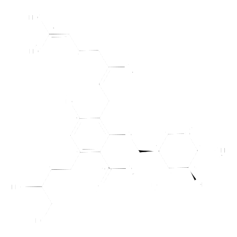 CCC(C)CCc1cc(O)c(C/C=C(\C)CCC=C(C)C)c(OC[C@H]2CO[C@H](O)[C@@H](O)[C@@H]2O)c1C(=O)O